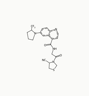 N#CC1CSCN1C(=O)CNC(=O)c1ccnc2ccc(N3CCCC3C(F)(F)F)cc12